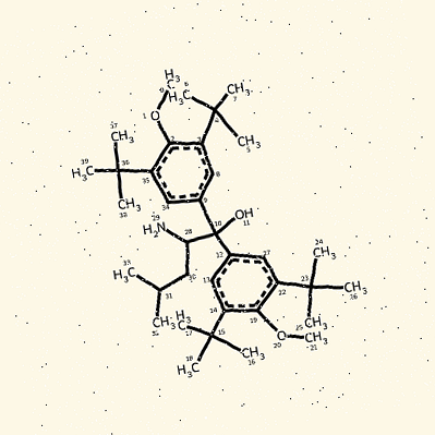 COc1c(C(C)(C)C)cc(C(O)(c2cc(C(C)(C)C)c(OC)c(C(C)(C)C)c2)C(N)CC(C)C)cc1C(C)(C)C